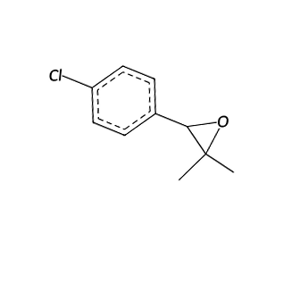 CC1(C)OC1c1ccc(Cl)cc1